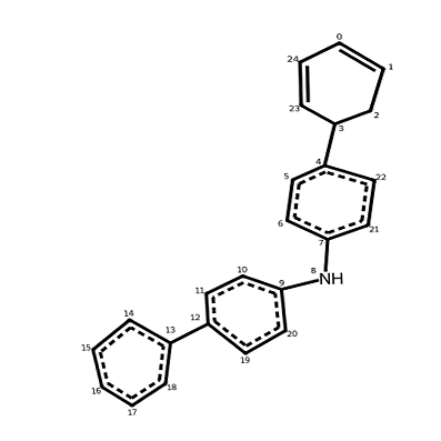 C1=CCC(c2ccc(Nc3ccc(-c4ccccc4)cc3)cc2)C=C1